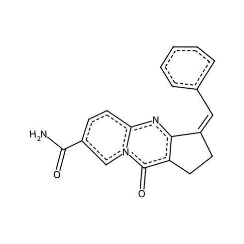 NC(=O)c1ccc2nc3c(c(=O)n2c1)CC/C3=C/c1ccccc1